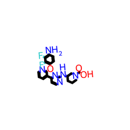 Nc1ccc(Oc2ncccc2-c2ccnc(NC3CCCN(C(=O)O)C3)n2)c(F)c1F